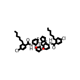 CCCCCCc1cc(Cl)ccc1C(=O)Nc1ccc(F)[c]([Ti]([C]2=CC=CC2)([C]2=CC=CC2)[c]2c(F)ccc(NC(=O)c3ccc(Cl)cc3CCCCCC)c2F)c1F